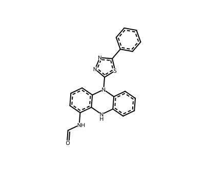 O=CNc1cccc2c1Nc1ccccc1N2c1nnc(-c2ccccc2)s1